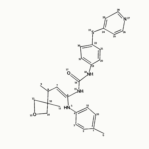 Cc1ccc(N/C(=C\C(C)C2(C)COC2)NC(=O)Nc2ccc(Sc3ccncc3)cc2)cc1